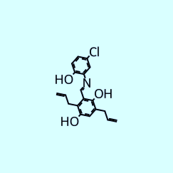 C=CCc1cc(O)c(CC=C)c(C=Nc2cc(Cl)ccc2O)c1O